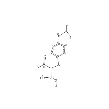 COC(O)C(Cc1ccc(OC(C)C)cc1)C(C)=O